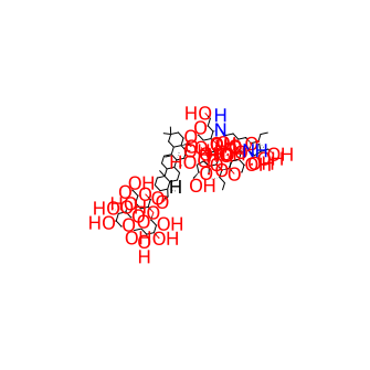 CC[C@H](C)[C@H](C[C@H](O)CC(=O)N[C@H]1C(CO)O[C@@H](OC(=O)[C@]23CCC(C)(C)CC2C2=CCC4C5(C)CC[C@H](O[C@@H]6OC(C(=O)O)[C@@H](O)[C@H](O[C@@H]7OC[C@@H](O)[C@H](O)C7O)C6O[C@@H]6OC(CO)[C@H](O)[C@H](O)C6O)[C@](C)(C=O)[C@@H]5CC[C@]4(C)[C@]2(C)CC3O)C(O[C@@H]2OC(C)[C@H](O[C@@H]3OC[C@@H](O)C(O[C@@H]4OC[C@@](O)(CO)C4O)C3O)C(O)C2O)C1O)NC(=O)C[C@@H](O)C[C@H](O[C@@H]1O[C@@H](CO)C(O)C1O)[C@@H](C)CC